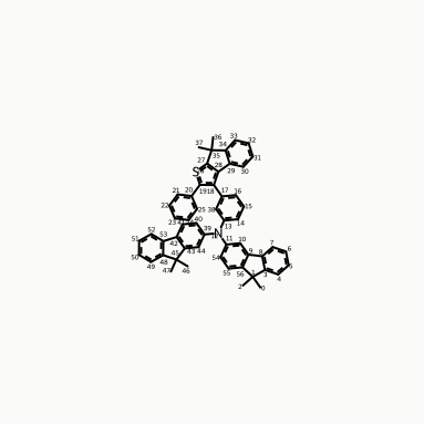 CC1(C)c2ccccc2-c2cc(N(c3cccc(-c4c(-c5ccccc5)sc5c4-c4ccccc4C5(C)C)c3)c3ccc4c(c3)C(C)(C)c3ccccc3-4)ccc21